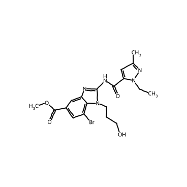 CCn1nc(C)cc1C(=O)Nc1nc2cc(C(=O)OC)cc(Br)c2n1CCCO